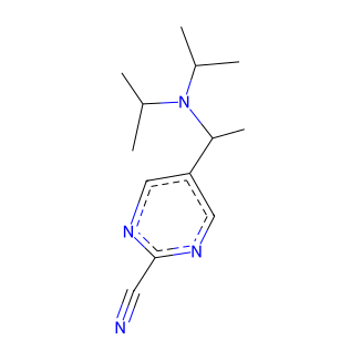 CC(C)N(C(C)C)C(C)c1cnc(C#N)nc1